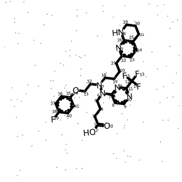 O=C(O)CCCN(c1ccnc(C(F)(F)F)n1)N(CCCCc1ccc2c(n1)NCCC2)CCOc1ccc(F)cc1